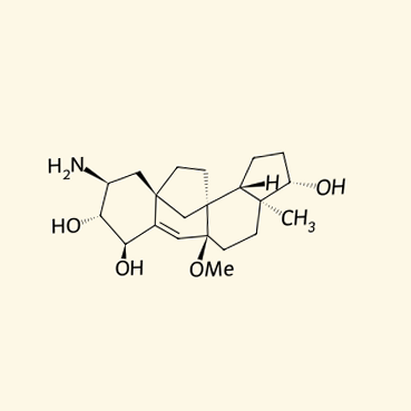 CO[C@@]12C=C3[C@@H](O)[C@H](O)[C@@H](N)C[C@]34CC[C@]1(C4)[C@@H]1CC[C@H](O)[C@@]1(C)CC2